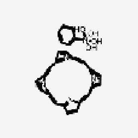 C1=Cc2cc3ccc(cc4nc(cc5ccc(cc1n2)[nH]5)C=C4)[nH]3.[OH][Ni]([OH])([OH])([OH])[c]1ccccc1